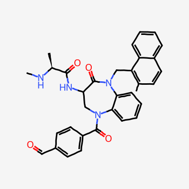 CN[C@@H](C)C(=O)NC1CN(C(=O)c2ccc(C=O)cc2)c2ccccc2N(Cc2c(C)ccc3ccccc23)C1=O